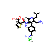 Cc1nc(CC(C)C)c(CN)c(-c2ccc(CN)cc2)c1NC(=O)c1sccc1C(=O)O.Cl.Cl